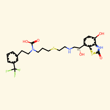 O=C(O)N(CCCSCCNC[C@@H](O)c1ccc(O)c2[nH]c(=O)sc12)CCc1cccc(C(F)(F)F)c1